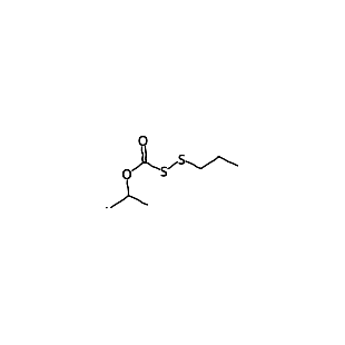 [CH2]C(C)OC(=O)SSCCC